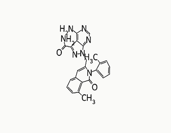 Cc1ccccc1-n1c(Cn2nc(C(N)=O)c3c(N)ncnc32)cc2cccc(C)c2c1=O